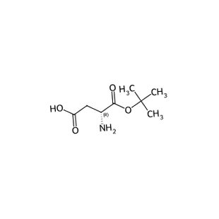 CC(C)(C)OC(=O)[C@H](N)CC(=O)O